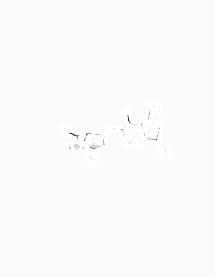 CC1CC(C#N)N(C(=O)C(N)CN2C[C@@H]3CC2C(=O)N3)C1